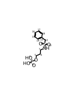 O=P(O)(O)OCCCNS(=O)(=O)Cc1ccccc1